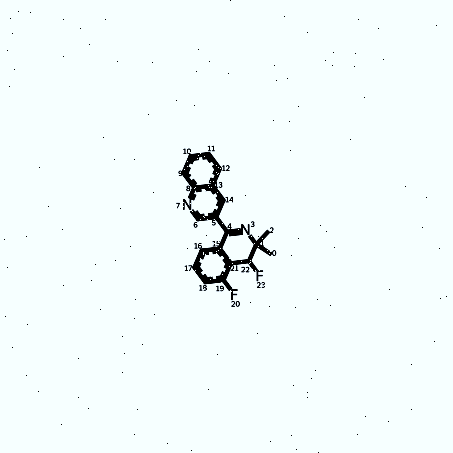 CC1(C)N=C(c2cnc3ccccc3c2)c2cccc(F)c2C1F